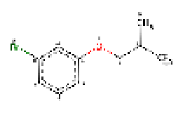 CC(COc1cccc(Br)c1)C(F)(F)F